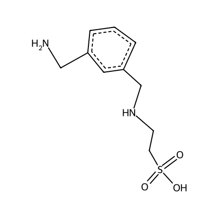 NCc1cccc(CNCCS(=O)(=O)O)c1